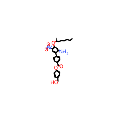 CCCCCC[C@H](C)Oc1cc(N)c(-c2ccc(C(=O)Oc3ccc(CO)cc3)cc2)cc1[N+](=O)[O-]